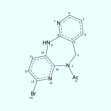 CC(=O)N1Cc2cccnc2Nc2ccc(Br)nc21